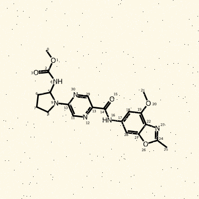 COC(=O)NC1CCCN1c1cnc(C(=O)Nc2cc(OC)c3nc(C)oc3c2)cn1